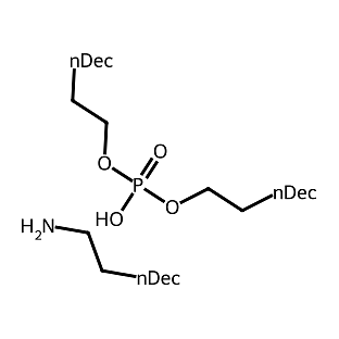 CCCCCCCCCCCCN.CCCCCCCCCCCCOP(=O)(O)OCCCCCCCCCCCC